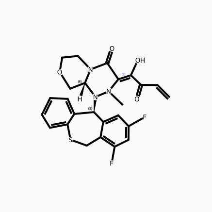 C=CC(=O)/C(O)=C1/C(=O)N2CCOC[C@H]2N([C@@H]2c3ccccc3SCc3c(F)cc(F)cc32)N1C